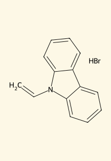 Br.C=Cn1c2ccccc2c2ccccc21